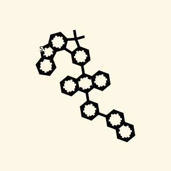 CC1(C)c2ccc(-c3c4ccccc4c(-c4cccc(-c5ccc6ccccc6c5)c4)c4ccccc34)cc2-c2c1ccc1sc3ccccc3c21